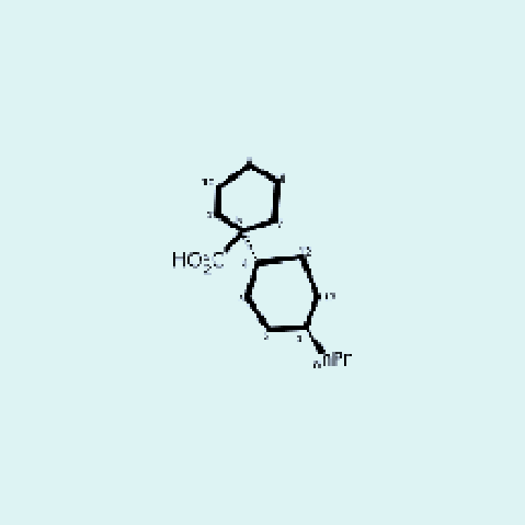 CCC[C@H]1CC[C@H](C2(C(=O)O)CCCCC2)CC1